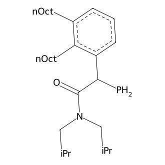 CCCCCCCCc1cccc(C(P)C(=O)N(CC(C)C)CC(C)C)c1CCCCCCCC